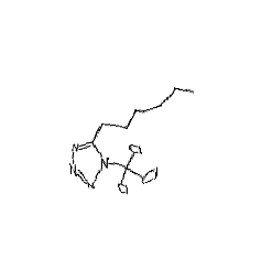 CCCCCCc1nnnn1C(Cl)(Cl)Cl